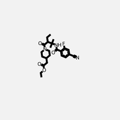 CCOC(=O)CC1CCN(C(=O)C(CC)C(C)(C)NC(=O)c2ccc(C#N)cc2F)CC1